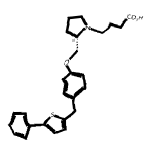 O=C(O)CCCN1CCC[C@H]1COc1ccc(Cc2ccc(-c3ccccc3)s2)cc1